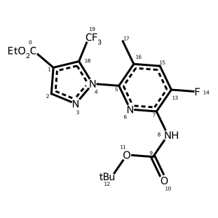 CCOC(=O)c1cnn(-c2nc(NC(=O)OC(C)(C)C)c(F)cc2C)c1C(F)(F)F